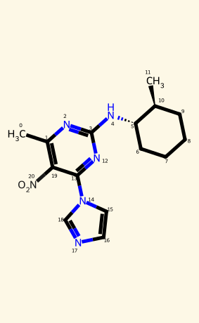 Cc1nc(N[C@H]2CCCC[C@@H]2C)nc(-n2ccnc2)c1[N+](=O)[O-]